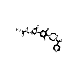 CC(=O)NC[C@H]1CN(c2cc(F)c(N3CCON(C(=S)c4ccncc4)CC3)c(F)c2)C(=O)O1